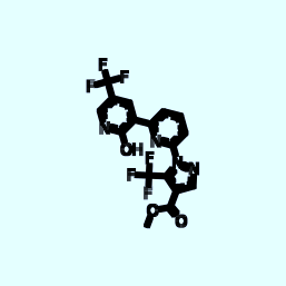 COC(=O)c1cnn(-c2cccc(-c3cc(C(F)(F)F)cnc3O)n2)c1C(F)(F)F